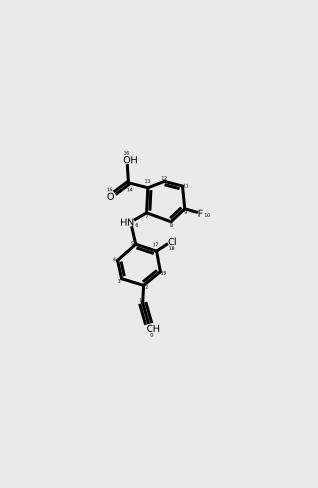 C#Cc1ccc(Nc2cc(F)ccc2C(=O)O)c(Cl)c1